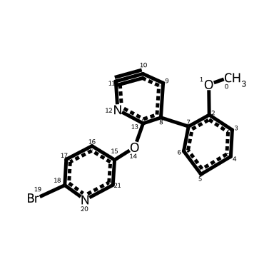 COc1ccccc1-c1cc#cnc1Oc1ccc(Br)nc1